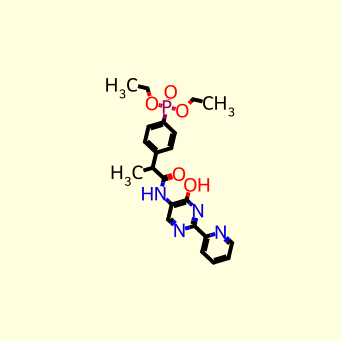 CCOP(=O)(OCC)c1ccc(C(C)C(=O)Nc2cnc(-c3ccccn3)nc2O)cc1